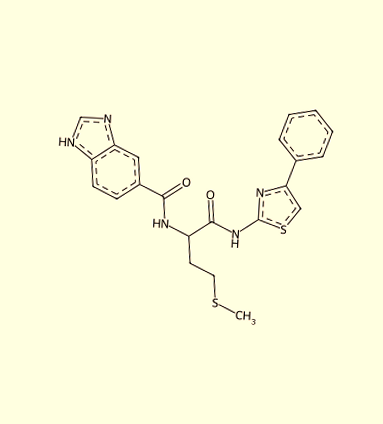 CSCCC(NC(=O)c1ccc2[nH]cnc2c1)C(=O)Nc1nc(-c2ccccc2)cs1